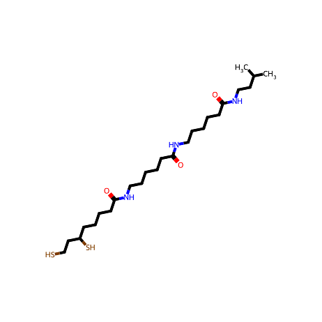 CC(C)CCNC(=O)CCCCCNC(=O)CCCCCNC(=O)CCCCC(S)CCS